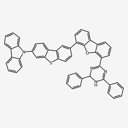 c1ccc(C2=NC(c3cccc4c3oc3c(-c5ccc6sc7cc(-n8c9ccccc9c9ccccc98)ccc7c6c5)cccc34)=NC(c3ccccc3)N2)cc1